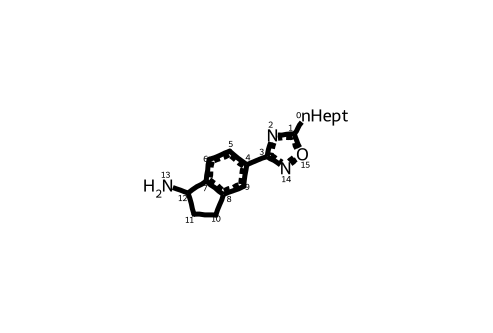 CCCCCCCc1nc(-c2ccc3c(c2)CCC3N)no1